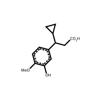 COc1ccc(C(CC(=O)O)C2CC2)cc1O